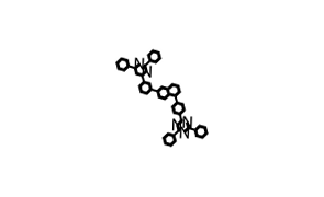 c1ccc(-c2cc(-c3cccc(-c4ccc5c(-c6ccc(-c7nc(-c8ccccc8)nc(-c8ccccc8)n7)cc6)cccc5c4)c3)nc(-c3ccccc3)n2)cc1